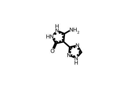 Nc1[nH][nH]c(=O)c1-c1nc[nH]n1